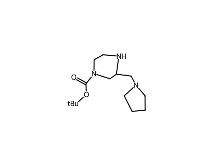 CC(C)(C)OC(=O)N1CCNC(CN2CCCC2)C1